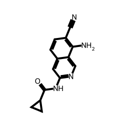 N#Cc1ccc2cc(NC(=O)C3CC3)ncc2c1N